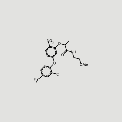 COCCNC(=O)C(C)Oc1cc(Oc2ccc(C(F)(F)F)cc2Cl)ccc1[N+](=O)[O-]